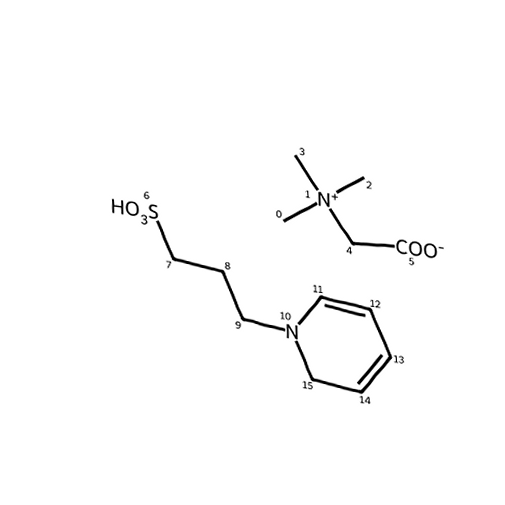 C[N+](C)(C)CC(=O)[O-].O=S(=O)(O)CCCN1C=CC=CC1